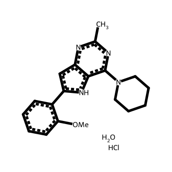 COc1ccccc1-c1cc2nc(C)nc(N3CCCCC3)c2[nH]1.Cl.O